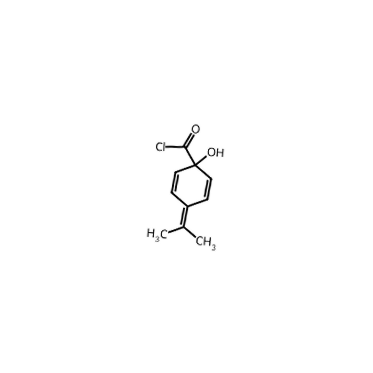 CC(C)=C1C=CC(O)(C(=O)Cl)C=C1